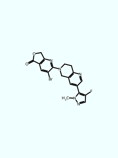 Cn1ncc(F)c1-c1cnc2c(c1)CN(c1nc3c(cc1Br)C(=O)OC3)CC2